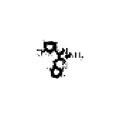 Nc1nc(-c2cccc(Cl)c2)c(Cc2ccccc2Cl)s1